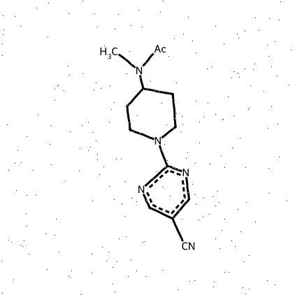 CC(=O)N(C)C1CCN(c2ncc(C#N)cn2)CC1